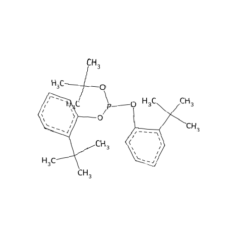 CC(C)(C)OP(Oc1ccccc1C(C)(C)C)Oc1ccccc1C(C)(C)C